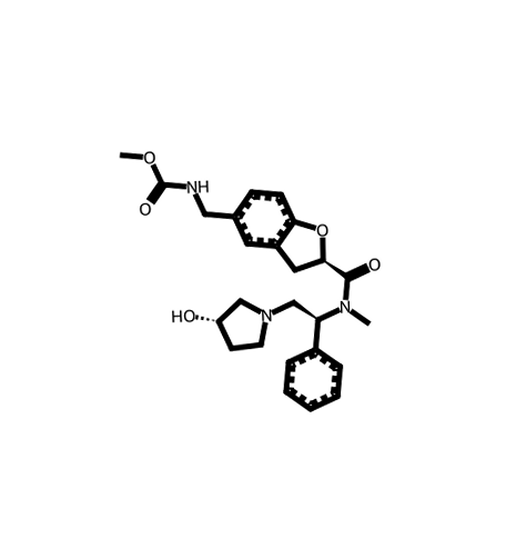 COC(=O)NCc1ccc2c(c1)C[C@H](C(=O)N(C)[C@H](CN1CC[C@H](O)C1)c1ccccc1)O2